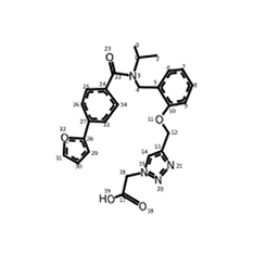 CC(C)N(Cc1ccccc1OCc1cn(CC(=O)O)nn1)C(=O)c1ccc(-c2ccco2)cc1